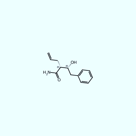 C=CC[C@@H](C(N)=O)[C@H](O)Cc1ccccc1